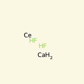 F.F.[CaH2].[Ce]